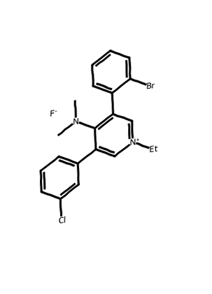 CC[n+]1cc(-c2cccc(Cl)c2)c(N(C)C)c(-c2ccccc2Br)c1.[F-]